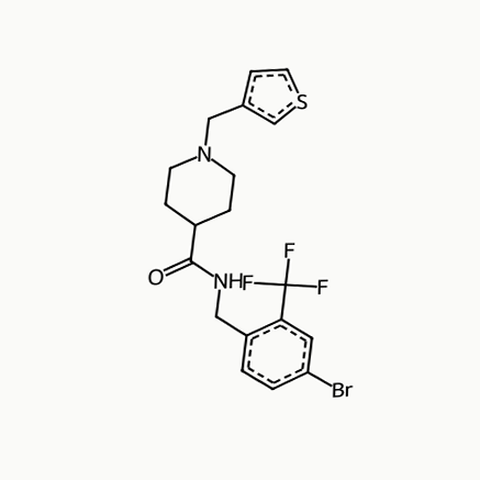 O=C(NCc1ccc(Br)cc1C(F)(F)F)C1CCN(Cc2ccsc2)CC1